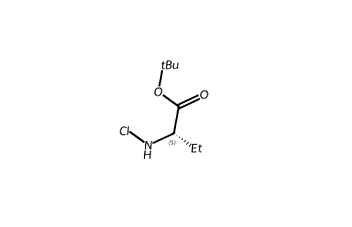 CC[C@H](NCl)C(=O)OC(C)(C)C